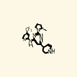 C[C@@H]1CCCN1c1nc(Nc2cc(C(F)(F)F)ccn2)cc(C2CCNCC2)n1